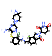 CC1(N)CCN(c2cnc(Sc3cccc(NCc4ccc5c(c4F)CN(C4CCC(=O)NC4=O)C5=O)c3Cl)c(N)n2)CC1